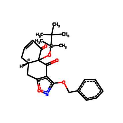 CC(C)(C)[Si](C)(C)OC12C(=O)C=CC[C@H]1Cc1onc(OCc3ccccc3)c1C2=O